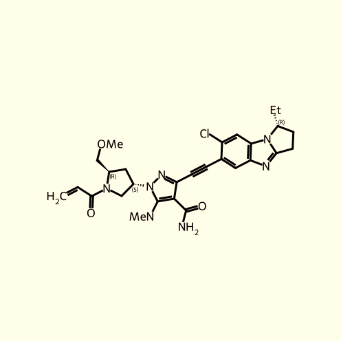 C=CC(=O)N1C[C@@H](n2nc(C#Cc3cc4nc5n(c4cc3Cl)[C@H](CC)CC5)c(C(N)=O)c2NC)C[C@@H]1COC